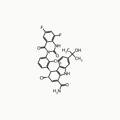 Cc1c([C@H]2c3c([nH]c4cc(C(C)(C)O)ccc34)C(C(N)=O)=C[C@H]2Cl)cccc1-n1c(=O)[nH]c2c(F)cc(F)cc2c1=O